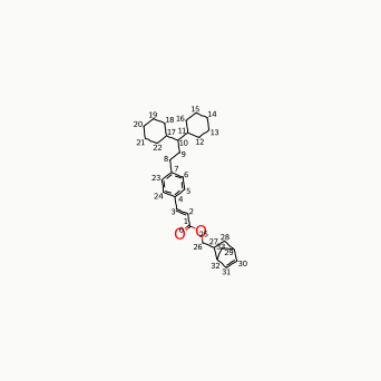 O=C(C=Cc1ccc(CCC(C2CCCCC2)C2CCCCC2)cc1)OCC1CC2C=CC1C2